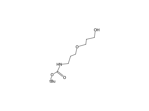 CC(C)(C)OC(=O)NCCCOCCCO